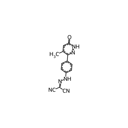 Cc1cc(=O)[nH]nc1-c1ccc(NN=C(C#N)C#N)cc1